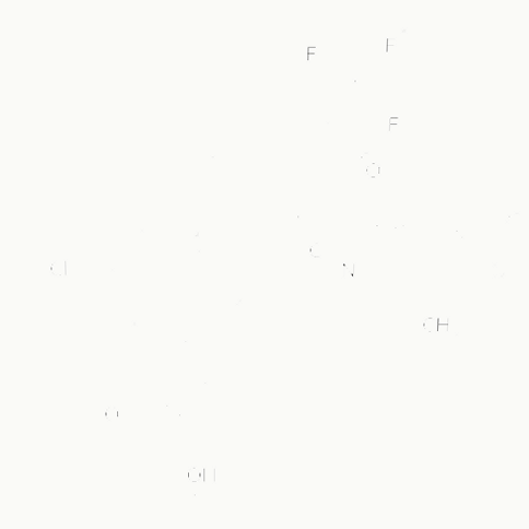 CCN(Cc1cc(C(F)(F)F)ccc1-c1cc(Cl)cc(CC(=O)O)c1)C(=O)C1CC1